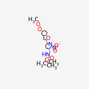 CCOCOc1ccc2oc(-c3ccc(CNC(=O)OC(C)(C)C)c([N+](=O)[O-])n3)cc2c1